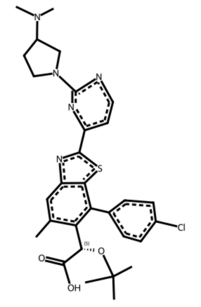 Cc1cc2nc(-c3ccnc(N4CCC(N(C)C)C4)n3)sc2c(-c2ccc(Cl)cc2)c1[C@H](OC(C)(C)C)C(=O)O